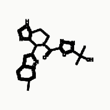 Cc1ccc2cc(C3c4nc[nH]c4CCN3C(=O)c3nnc(C(C)(C)O)o3)nn2c1